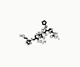 O=C(O)C1=C(CSc2nnnn2CCO)CS[C@H]2C(NC(=O)C(=NOC3CCCC3)c3csc(NC(=O)C(F)(F)F)n3)C(=O)N12